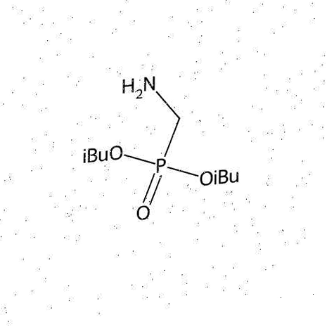 CC(C)COP(=O)(CN)OCC(C)C